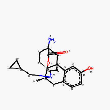 NC12CC[C@@]3(OC1=O)[C@H]1Cc4ccc(O)cc4[C@@]3(CCN1CC1CC1)C2